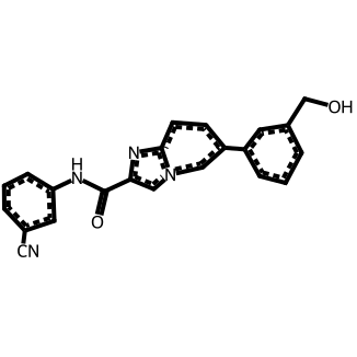 N#Cc1cccc(NC(=O)c2cn3cc(-c4cccc(CO)c4)ccc3n2)c1